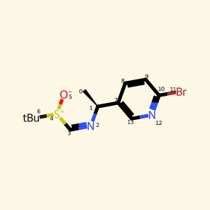 C[C@H](/N=C\[S+]([O-])C(C)(C)C)c1ccc(Br)nc1